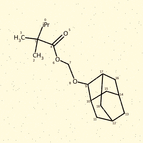 CC(C)C(C)(C)C(=O)OCOC1C2CC3CC(C2)CC1C3